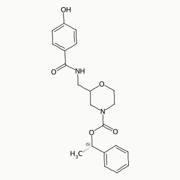 C[C@H](OC(=O)N1CCOC(CNC(=O)c2ccc(O)cc2)C1)c1ccccc1